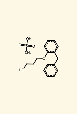 CS(=O)(=O)O.OCCCOc1ccccc1Cc1ccccc1